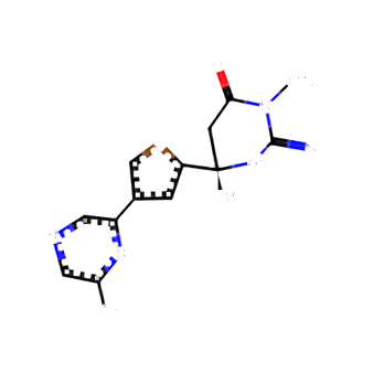 Cc1cncc(-c2csc([C@]3(C)CC(=O)N(C)C(=N)N3)c2)n1